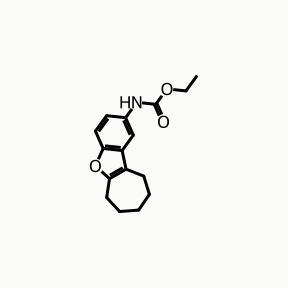 CCOC(=O)Nc1ccc2oc3c(c2c1)CCCCC3